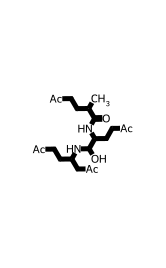 CC(=O)CCC(CC(C)=O)NC(O)C(CCC(C)=O)NC(=O)C(C)CCC(C)=O